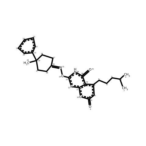 CC(C)CCCc1cc(=O)oc2nc(ON=C3CCC(C)(c4ccccc4)CC3)[nH]c(=O)c12